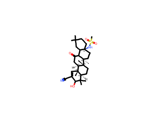 CC1(C)CC[C@]2(NS(C)(=O)=O)CC[C@]3(C)C(C(=O)C[C@@H]4[C@@]5(C)C=C(C#N)C(O)C(C)(C)[C@@H]5CC[C@]43C)C2C1